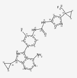 Nc1ncnc2c1c(-c1ccc(NC(=O)Nc3cc(C4(C(F)(F)F)CC4)no3)c(F)c1)nn2C1CC1